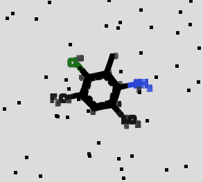 Cc1c(N)c([N+](=O)[O-])cc(C(F)(F)F)c1Cl